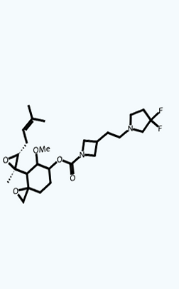 COC1C(OC(=O)N2CC(CCN3CCC(F)(F)C3)C2)CCC2(CO2)C1[C@@]1(C)O[C@@H]1CC=C(C)C